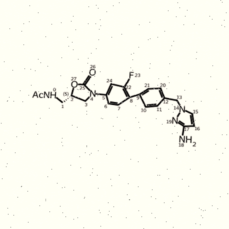 CC(=O)NC[C@H]1CN(c2ccc(-c3ccc(Cn4ccc(N)n4)cc3)c(F)c2)C(=O)O1